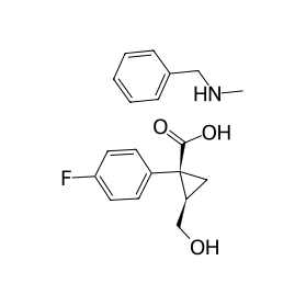 CNCc1ccccc1.O=C(O)[C@@]1(c2ccc(F)cc2)C[C@H]1CO